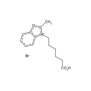 Cc1oc2ccccc2[n+]1CCCCCC(=O)O.[Br-]